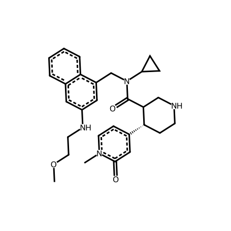 COCCNc1cc(CN(C(=O)C2CNCC[C@@H]2c2ccn(C)c(=O)c2)C2CC2)c2ccccc2c1